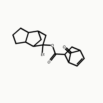 CCC1(OC(=O)C2CC3C=CC2C3=O)CC2CC1C1CCCC21